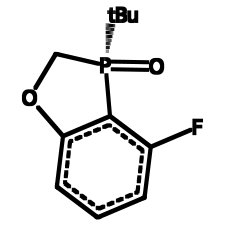 CC(C)(C)[P@@]1(=O)COc2cccc(F)c21